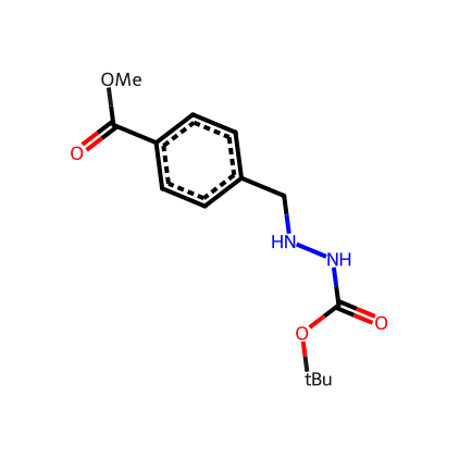 COC(=O)c1ccc(CNNC(=O)OC(C)(C)C)cc1